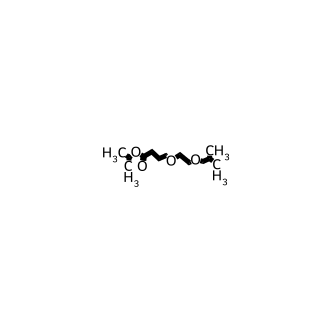 CC(C)COCCOCCCC(=O)OC(C)C